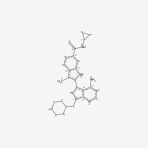 Cc1c(-c2nn(CC3CCOCC3)c3ncnc(N)c23)[nH]c2cc(C(=O)NC3CC3)ccc12